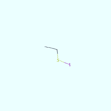 CCSI